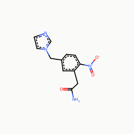 NC(=O)Cc1cc(Cn2ccnc2)ccc1[N+](=O)[O-]